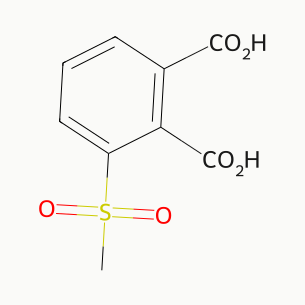 CS(=O)(=O)c1cccc(C(=O)O)c1C(=O)O